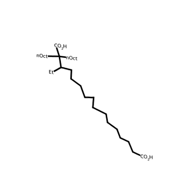 CCCCCCCCC(CCCCCCCC)(C(=O)O)C(CC)CCCCCCCCCCCCC(=O)O